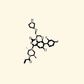 C=CC(=O)N1C[C@H](C)N(c2nc(=O)n3c4c(c(-c5ccc(F)cc5F)c(Cl)cc24)OC[C@H]3CO[C@@H]2CCNC2)C[C@H]1C